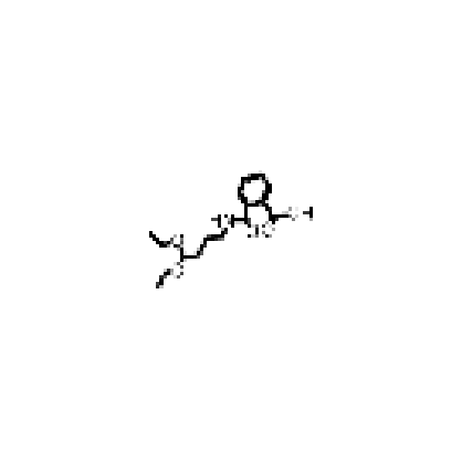 CCOC(CCCNC(=O)c1ccccc1C(=O)O)OCC